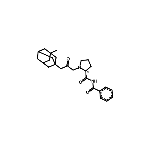 CC12CC3CC(C1)CC(CC(=O)CN1CCC[C@H]1C(=O)NC(=O)c1ccccc1)(C3)C2